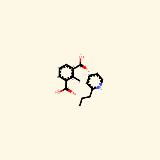 CCCc1ccccn1.Cc1c(C(=O)O)cccc1C(=O)O